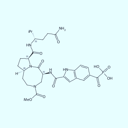 COC(=O)N1CC[C@H]2CC[C@@H](C(=O)N[C@@H](CCC(N)=O)C(C)C)N2C(=O)[C@@H](NC(=O)c2cc3cc(C(=O)P(=O)(O)O)ccc3[nH]2)C1